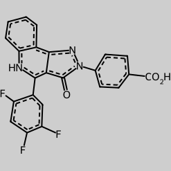 O=C(O)c1ccc(-n2nc3c4ccccc4[nH]c(-c4cc(F)c(F)cc4F)c-3c2=O)cc1